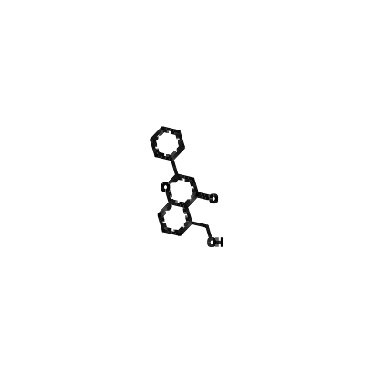 O=c1cc(-c2ccccc2)oc2cccc(CO)c12